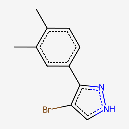 Cc1ccc(-c2n[nH]cc2Br)cc1C